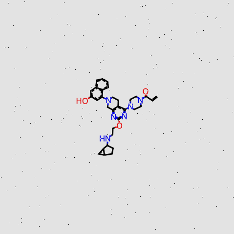 C=CC(=O)N1CCN(c2nc(OCCNC3CCC4CC43)nc3c2CCN(c2cc(O)cc4ccccc24)C3)CC1